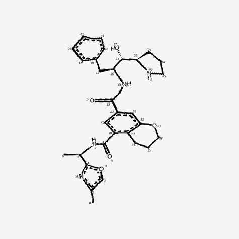 Cc1coc([C@@H](C)NC(=O)c2cc(C(=O)N[C@@H](Cc3ccccc3)[C@H](O)[C@H]3CCCN3)cc3c2CCCO3)n1